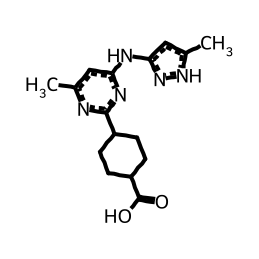 Cc1cc(Nc2cc(C)[nH]n2)nc(C2CCC(C(=O)O)CC2)n1